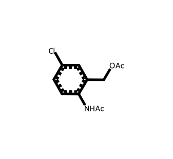 CC(=O)Nc1ccc(Cl)cc1COC(C)=O